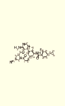 C=CC(=O)N1C[C@H](C#N)CC1COc1c(N)ncnc1-c1cc(F)cc(NC(=O)c2ccc(C3CC3)cc2F)c1C